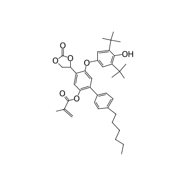 C=C(C)C(=O)Oc1cc(C2COC(=O)O2)c(Oc2cc(C(C)(C)C)c(O)c(C(C)(C)C)c2)cc1-c1ccc(CCCCCC)cc1